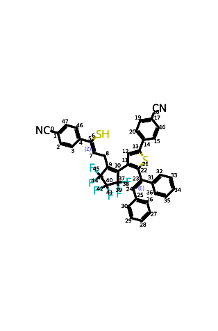 N#Cc1ccc(/C(S)=C/CC2=C(c3cc(-c4ccc(C#N)cc4)sc3/C(=C/c3ccccc3)c3ccccc3)C(F)(F)C(F)(F)C2(F)F)cc1